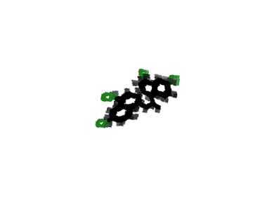 CC(Cc1ccc(Cl)c2cc(Cl)ccc12)c1ccc(Cl)c2cc(Cl)ccc12